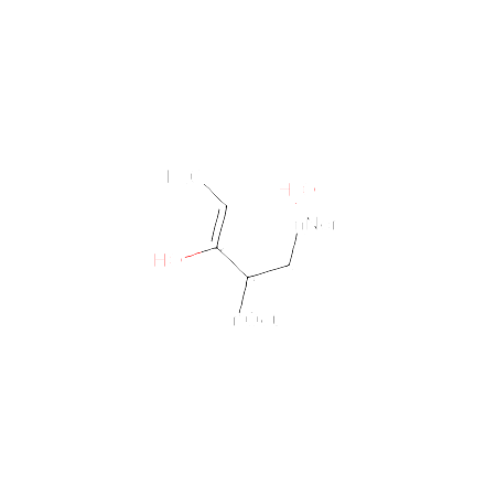 CC=C(O)C(CCCCCCCC)CCCCCCCCCC.O